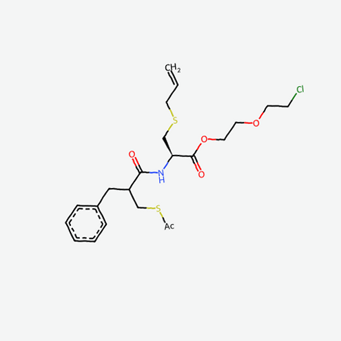 C=CCSC[C@H](NC(=O)C(CSC(C)=O)Cc1ccccc1)C(=O)OCCOCCCl